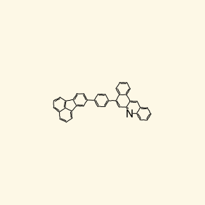 c1ccc2nc3cc(-c4ccc(-c5ccc6c(c5)-c5cccc7cccc-6c57)cc4)c4ccccc4c3cc2c1